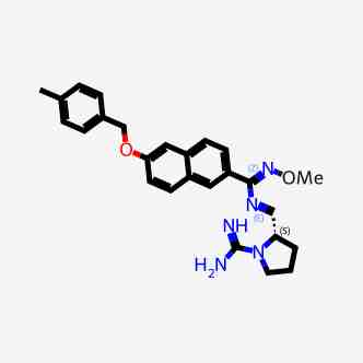 CO/N=C(\N=C\[C@@H]1CCCN1C(=N)N)c1ccc2cc(OCc3ccc(C)cc3)ccc2c1